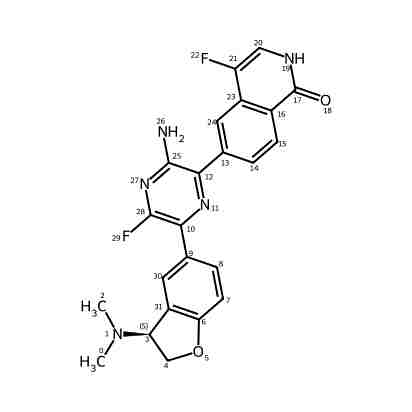 CN(C)[C@@H]1COc2ccc(-c3nc(-c4ccc5c(=O)[nH]cc(F)c5c4)c(N)nc3F)cc21